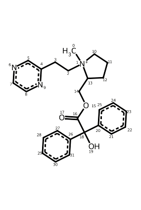 C[N+]1(CCc2cnccn2)CCCC1COC(=O)C(O)(c1ccccc1)c1ccccc1